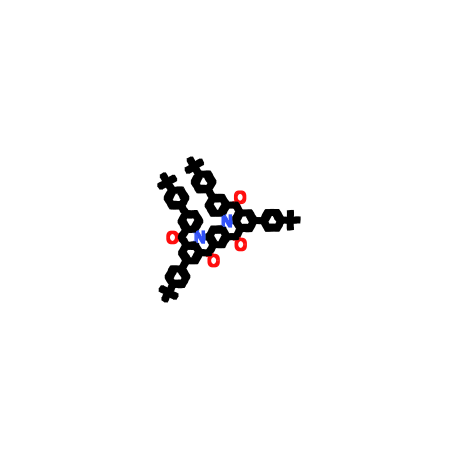 CC(C)(C)c1ccc(-c2ccc3c(c2)c(=O)c2cc(-c4ccc(C(C)(C)C)cc4)cc4c(=O)c5cc6c(=O)c7cc(-c8ccc(C(C)(C)C)cc8)cc8c(=O)c9cc(-c%10ccc(C(C)(C)C)cc%10)ccc9n(c6cc5n3c24)c87)cc1